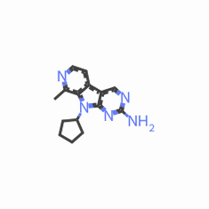 Cc1nccc2c3cnc(N)nc3n(C3CCCC3)c12